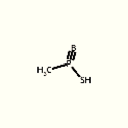 B#P(C)S